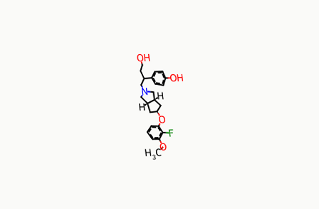 COc1cccc(O[C@H]2C[C@@H]3CN(CC(CCO)c4ccc(O)cc4)C[C@@H]3C2)c1F